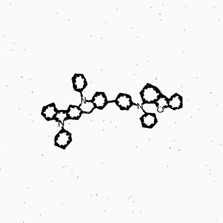 c1ccc(N2c3ccc(-c4ccc(N(c5ccccc5)c5cccc6c5oc5ccccc56)cc4)cc3Cc3cc4c(cc32)c2ccccc2n4-c2ccccc2)cc1